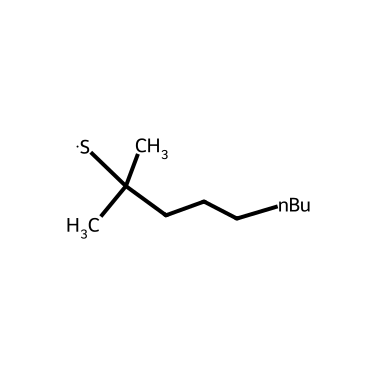 CCCCCCCC(C)(C)[S]